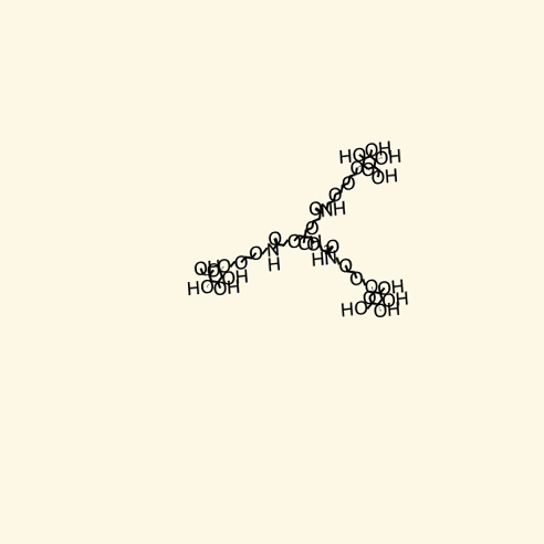 CC(COCCC(=O)NCCOCCOCCO[C@H]1OC(CO)[C@@H](O)C(O)C1O)(COCCC(=O)NCCOCCOCCO[C@H]1OC(CO)[C@@H](O)C(O)C1O)COCCC(=O)NCCOCCOCCO[C@H]1O[C@H](CO)[C@@H](O)C(O)C1O